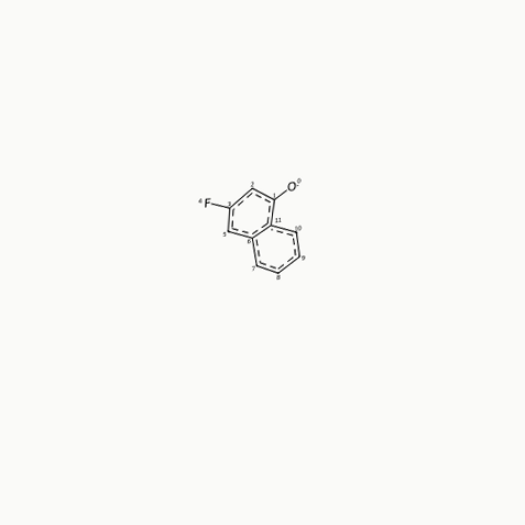 [O]c1cc(F)cc2ccccc12